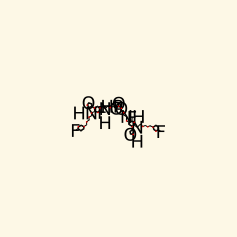 O=[PH](OCCCNCc1cc(-c2ccoc2)c(NCCCCCc2ccc(F)cc2)cc1F)OCCCNCc1cc(-c2ccoc2)c(NCCCCCc2ccc(F)cc2)cc1F